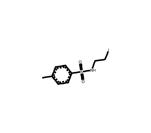 Cc1ccc(S(=O)(=O)NCCI)cc1